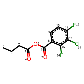 CCCC(=O)OC(=O)c1ccc(F)c(Cl)c1F